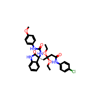 CCOC(CC(=O)Nc1ccc(Cl)cc1)(C[C@@]1(NC(=O)Nc2ccc(OC)cc2)C(=O)Nc2ccccc21)OCC